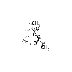 CCCCC(CC)C(=O)OOC(=O)CC